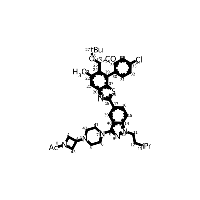 CC(=O)N1CC(N2CCN(c3nn(CCC(C)C)c4ccc(-c5nc6cc(C)c([C@H](OC(C)(C)C)C(=O)O)c(-c7ccc(Cl)cc7)c6s5)cc34)CC2)C1